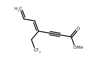 C=C/C=C(/C#CC(=O)OC)CC(F)(F)F